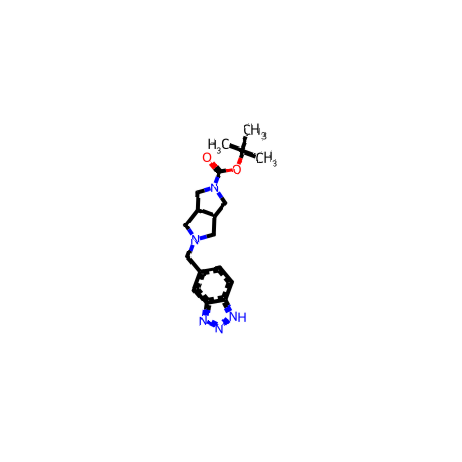 CC(C)(C)OC(=O)N1CC2CN(Cc3ccc4[nH]nnc4c3)CC2C1